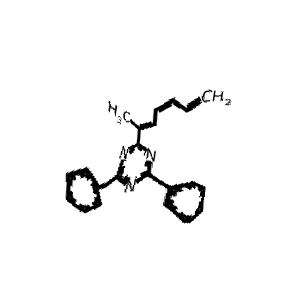 C=C/C=C\C=C(/C)c1nc(-c2ccccc2)nc(-c2ccccc2)n1